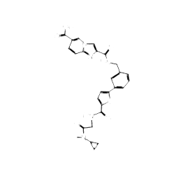 CN(C(=O)CNC(=O)c1ccc(-c2cccc(CNC(=O)c3cn4cc(C(=O)O)ccc4n3)c2)o1)C1CC1